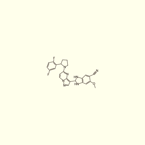 COc1cc2c(cc1C#N)NC(c1cnn3ccc(N4CCCC4c4cc(F)ccc4F)nc13)N2